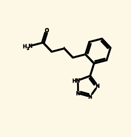 NC(=O)C[CH]Cc1ccccc1-c1nnn[nH]1